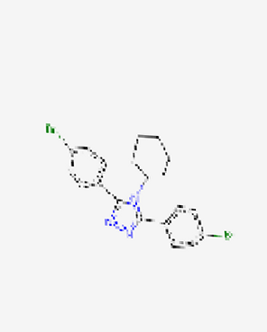 Brc1ccc(-c2nnc(-c3ccc(Br)cc3)n2C2CCCCC2)cc1